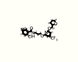 O=C(NCCCOc1cc(C(F)(F)F)cc(OCC2CCCO2)n1)c1cc([N+](=O)[O-])ccc1Cl